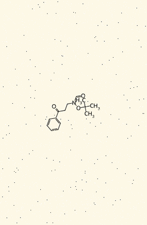 CC(C)(C)ON(C=O)CCC(=O)c1ccccc1